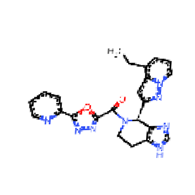 CCc1cccn2nc([C@H]3c4nc[nH]c4CCN3C(=O)c3nnc(-c4ccccn4)o3)cc12